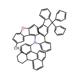 Cc1ccc2oc3cccc(N(c4ccccc4-c4ccc5c(c4)C(c4ccccc4)(c4ccccc4)c4ccccc4-5)c4ccccc4-c4cccc5cccc(C6CCCCC6)c45)c3c2c1